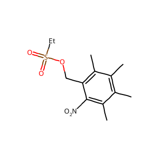 CCS(=O)(=O)OCc1c(C)c(C)c(C)c(C)c1[N+](=O)[O-]